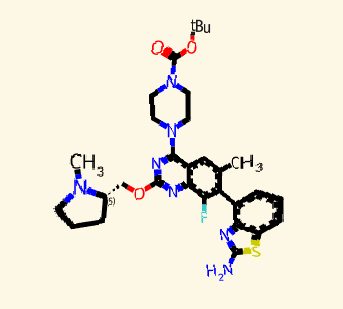 Cc1cc2c(N3CCN(C(=O)OC(C)(C)C)CC3)nc(OC[C@@H]3CCCN3C)nc2c(F)c1-c1cccc2sc(N)nc12